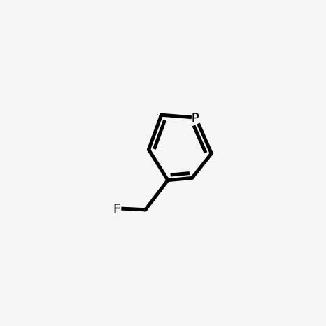 FCc1c[c]pcc1